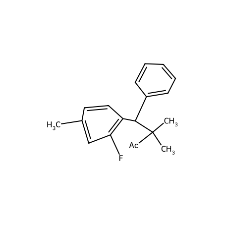 CC(=O)C(C)(C)C(c1ccccc1)c1ccc(C)cc1F